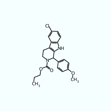 CCCOC(=O)N1CCc2c([nH]c3ccc(Cl)cc23)C1c1ccc(OC)cc1